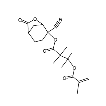 C=C(C)C(=O)OC(C)(C)C(C)(C)C(=O)OC1(C#N)CCC2CC1OC2=O